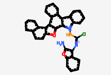 Nc1oc2ccccc2c1/N=C(/Cl)Pn1c2ccccc2c2c3ccccc3c3c(oc4ccc5ccccc5c43)c21